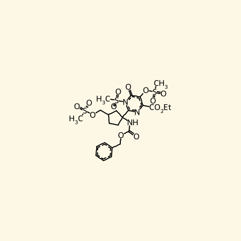 CCOC(=O)c1nc(C2(NC(=O)OCc3ccccc3)CCC(COS(C)(=O)=O)C2)n(S(C)(=O)=O)c(=O)c1OS(C)(=O)=O